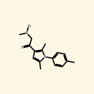 CCN(C)CC(=O)c1cc(C)n(-c2ccc(I)cc2)c1C